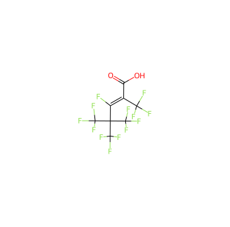 O=C(O)C(=C(F)C(C(F)(F)F)(C(F)(F)F)C(F)(F)F)C(F)(F)F